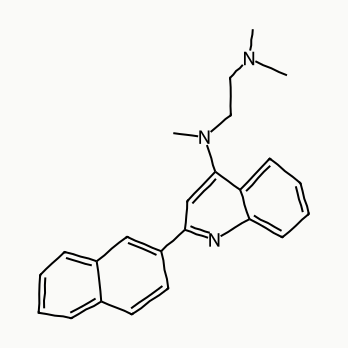 CN(C)CCN(C)c1cc(-c2ccc3ccccc3c2)nc2ccccc12